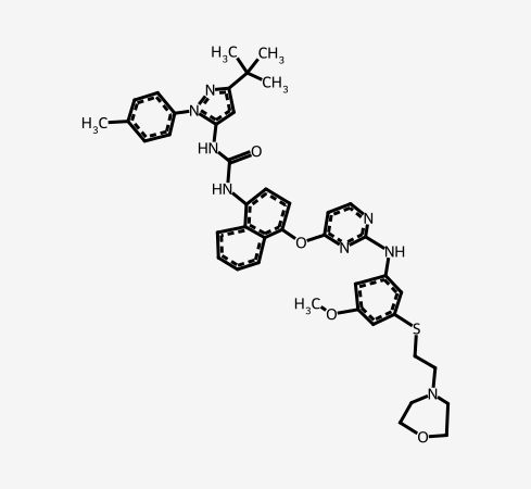 COc1cc(Nc2nccc(Oc3ccc(NC(=O)Nc4cc(C(C)(C)C)nn4-c4ccc(C)cc4)c4ccccc34)n2)cc(SCCN2CCOCC2)c1